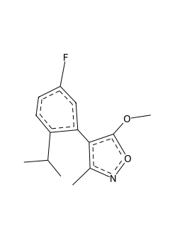 COc1onc(C)c1-c1cc(F)ccc1C(C)C